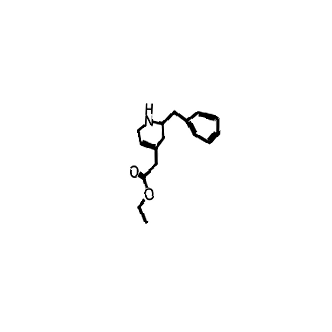 CCOC(=O)CC1=CCNC(Cc2ccccc2)C1